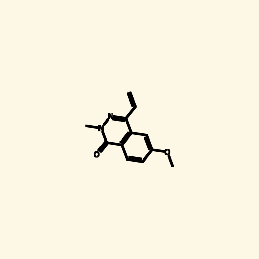 C=Cc1nn(C)c(=O)c2ccc(OC)cc12